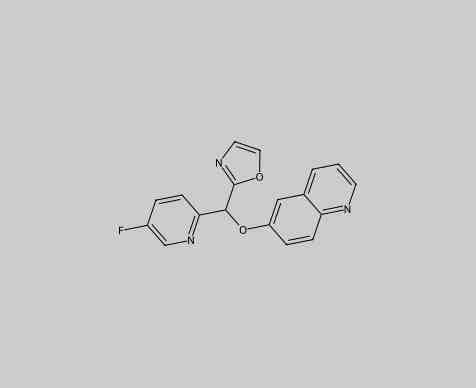 Fc1ccc(C(Oc2ccc3ncccc3c2)c2ncco2)nc1